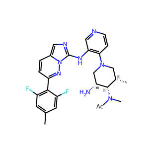 CC(=O)N(C)[C@@H]1[C@H](N)CN(c2ccncc2Nc2ncc3ccc(-c4c(F)cc(C)cc4F)nn23)C[C@@H]1C